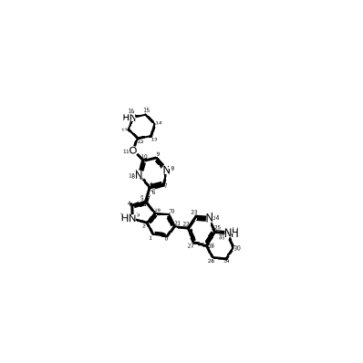 c1cc2[nH]cc(-c3cncc(OC4CCCNC4)n3)c2cc1-c1cnc2c(c1)CCCN2